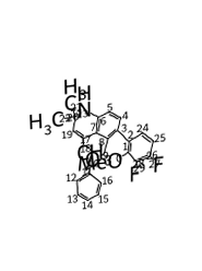 COc1c(-c2ccc3c(c2COc2ccccc2)C(C)=CC(C)(C)N3)ccc(F)c1F